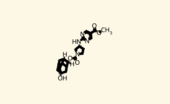 COC(=O)c1cnc(N[C@@H]2CCN(C(=O)O[C@@H]3C4CC5C[C@H]3C[C@@](O)(C5)C4)C2)nc1